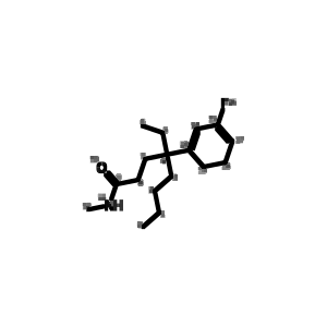 CCCCC(CC)(CCC(=O)NC)C1=CC(F)=CCC1